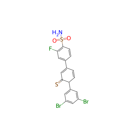 NS(=O)(=O)c1ccc(C2=CC(=S)C(c3cc(Br)cc(Br)c3)C=C2)cc1F